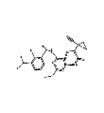 CSc1nc(N[C@H](C)c2cccc(C(F)F)c2F)c2cc(C3(C#N)CC3)c(=O)[nH]c2n1